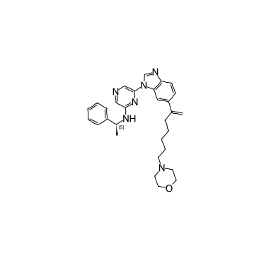 C=C(CCCCCN1CCOCC1)c1ccc2ncn(-c3cncc(N[C@@H](C)c4ccccc4)n3)c2c1